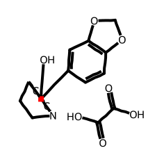 O=C(O)C(=O)O.OC1(c2ccc3c(c2)OCO3)CN2CCC1CC2